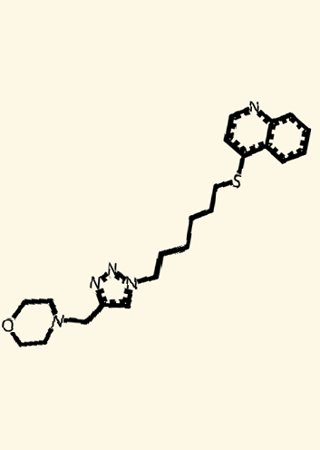 c1ccc2c(SCCCCCCn3cc(CN4CCOCC4)nn3)ccnc2c1